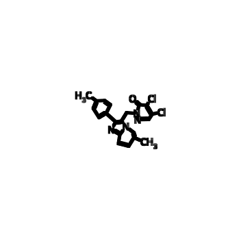 Cc1ccc(-c2nc3ccc(C)cn3c2Cn2ncc(Cl)c(Cl)c2=O)cc1